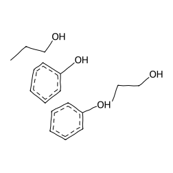 CCCO.CCCO.Oc1ccccc1.Oc1ccccc1